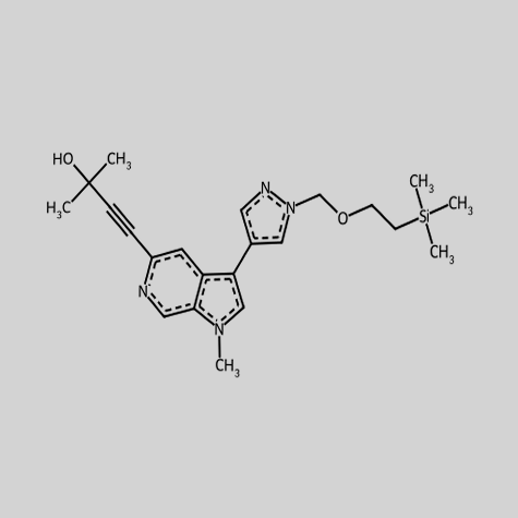 Cn1cc(-c2cnn(COCC[Si](C)(C)C)c2)c2cc(C#CC(C)(C)O)ncc21